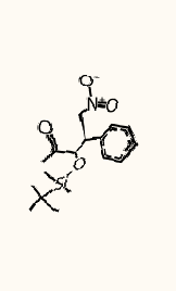 CC(=O)C(O[Si](C)(C)C(C)(C)C)[C@@H](C[N+](=O)[O-])c1ccccc1